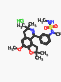 CNS(=O)(=O)N(C)c1cccc(C2=NC(C)(C)Cc3cc(OC)c4c(c32)CC(C)(C)O4)c1.Cl